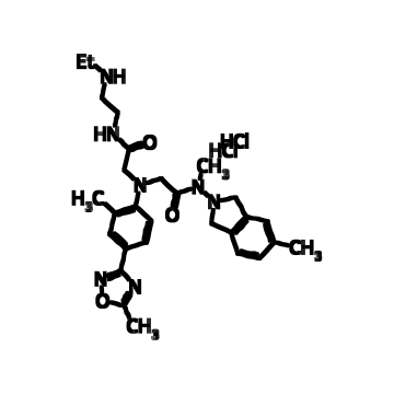 CCNCCNC(=O)CN(CC(=O)N(C)N1Cc2ccc(C)cc2C1)c1ccc(-c2noc(C)n2)cc1C.Cl.Cl